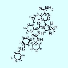 CC1(C)[C@@H]2[C@@H](C(=O)NC(CC3CC3)C(=O)C(N)=O)N(C(=O)[C@@H](NC(=O)NC3(Cc4cccc(OCc5ccccc5)c4)CCCCC3)C3CCCCC3)C[C@@H]21